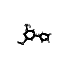 COc1cc(N)cc(-c2ccoc2)c1